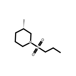 CCCS(=O)(=O)N1CCC[C@H](C)C1